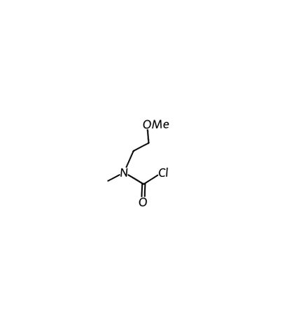 COCCN(C)C(=O)Cl